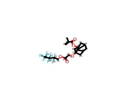 C=C(C)C(=O)OC12CC3CC(CC(OCC(=O)OCC(F)(F)C(F)(F)C(F)(F)F)(C3)C1)C2